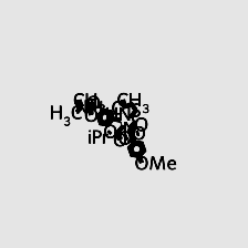 COc1ccc(S(=O)(=O)N(C(=O)[C@H]2NC(C)(C)CS2)[C@@H](Cc2ccc(OC(=O)N(C)C)cc2)C(=O)OC(C)C)cc1